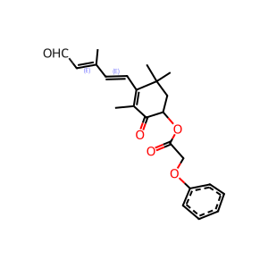 CC1=C(/C=C/C(C)=C/C=O)C(C)(C)CC(OC(=O)COc2ccccc2)C1=O